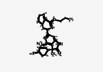 CCCOc1nc(-c2nc(N)c3c(n2)NC(=O)C3(C)c2ccc(F)cc2)cn2ccnc12